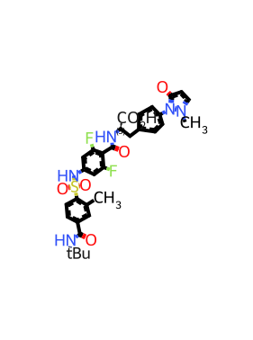 Cc1cc(C(=O)NC(C)(C)C)ccc1S(=O)(=O)Nc1cc(F)c(C(=O)N[C@@H](Cc2ccc(-n3c(=O)ccn3C)cc2)C(=O)O)c(F)c1